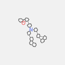 c1cc(-c2ccc3c(c2)-c2cccc4cccc-3c24)cc(N(c2ccc(-c3cccc4c3oc3ccccc34)cc2)c2cccc(-c3ccc4c(ccc5ccccc54)c3)c2)c1